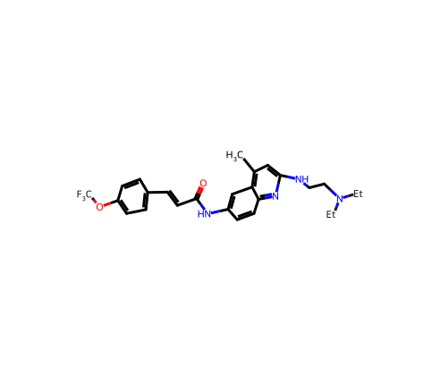 CCN(CC)CCNc1cc(C)c2cc(NC(=O)C=Cc3ccc(OC(F)(F)F)cc3)ccc2n1